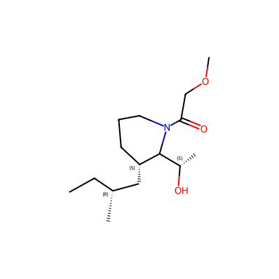 CC[C@@H](C)C[C@@H]1CCCN(C(=O)COC)C1[C@H](C)O